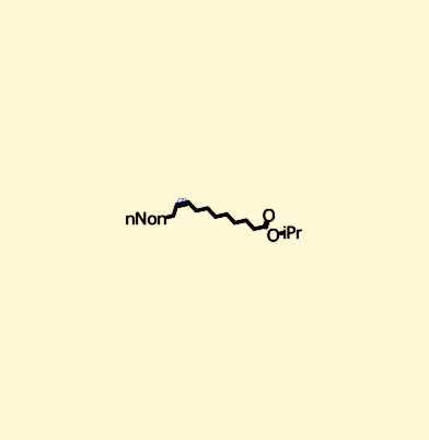 CCCCCCCCCC/C=C\CCCCCCCC(=O)OC(C)C